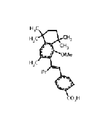 COc1c(C(=Cc2ccc(C(=O)O)cc2)C(C)C)c(C)cc2c1C(C)(C)CCC2(C)C